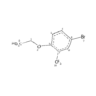 O=C(O)COc1ccc(Br)cc1C(F)(F)F